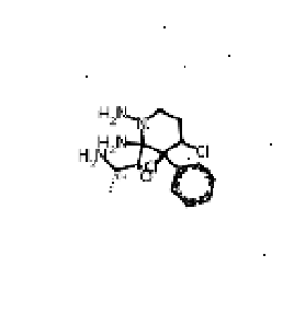 C[C@H](N)C(=O)C1(N)N(N)CCC(Cl)C1(Cl)c1ccccc1